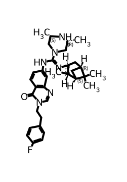 C[C@@H]1[C@@H](N=C(Nc2ccc3c(=O)n(CCc4ccc(F)cc4)cnc3c2)N2C[C@@H](C)N[C@@H](C)C2)C[C@H]2C[C@@H]1C2(C)C